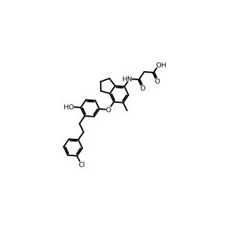 Cc1cc(NC(=O)CC(=O)O)c2c(c1Oc1ccc(O)c(CCc3cccc(Cl)c3)c1)CCC2